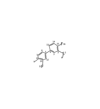 CSc1cc(-c2ccc(C)c(F)c2)ccc1F